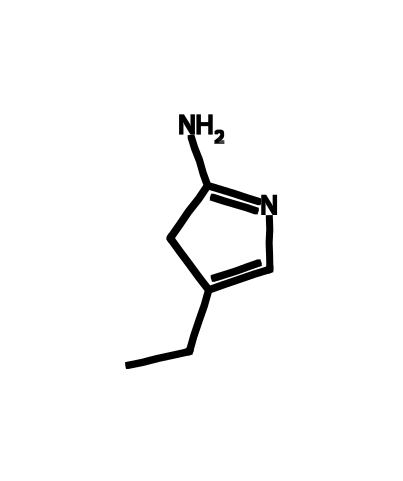 CCC1=CN=C(N)C1